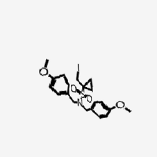 COc1ccc(CN(Cc2ccc(OC)cc2)S(=O)(=O)C2(CI)CC2)cc1